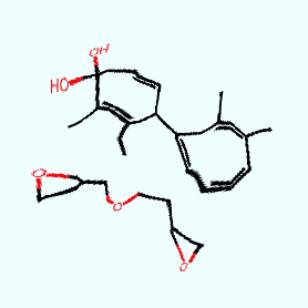 C(OCC1CO1)C1CO1.CC1=C(C)C(O)(O)C=CC1c1cccc(C)c1C